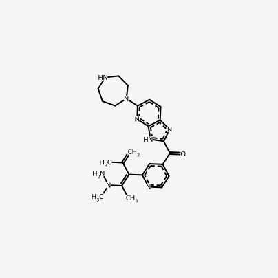 C=C(C)/C(=C(/C)N(C)N)c1cc(C(=O)c2nc3ccc(N4CCCNCC4)nc3[nH]2)ccn1